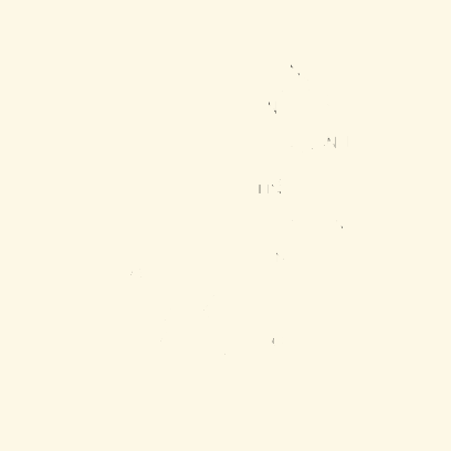 COc1cccc(OC)c1CNC(=N)Nc1nnc[nH]1